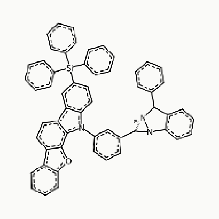 c1ccc(C2c3ccccc3N3C(c4cccc(-n5c6ccc([Si](c7ccccc7)(c7ccccc7)c7ccccc7)cc6c6ccc7c8ccccc8oc7c65)c4)[N@]23)cc1